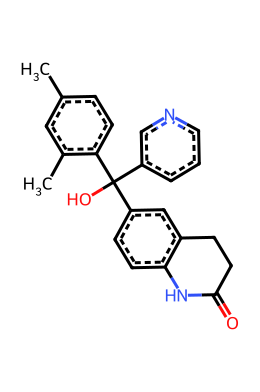 Cc1ccc(C(O)(c2cccnc2)c2ccc3c(c2)CCC(=O)N3)c(C)c1